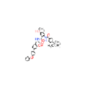 CBc1ccc(NC(=O)c2ccc(C(C)(C)C)cc2)c(C(=O)N[C@@H](Cc2ccc(-c3ccc(Oc4ccccc4)cc3)cc2)C(=O)O)c1